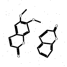 COc1cc2ccc(=O)oc2cc1OC.O=c1ccc2ccccc2o1